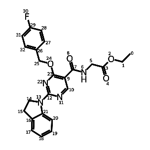 CCOC(=O)CNC(=O)c1cnc(N2CCc3ccccc32)nc1OCc1ccc(F)cc1